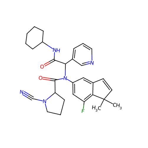 CC1(C)C=Cc2cc(N(C(=O)C3CCCN3C#N)C(C(=O)NC3CCCCC3)c3cccnc3)cc(F)c21